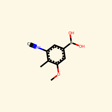 [C-]#[N+]c1cc(B(O)O)cc(OC)c1C